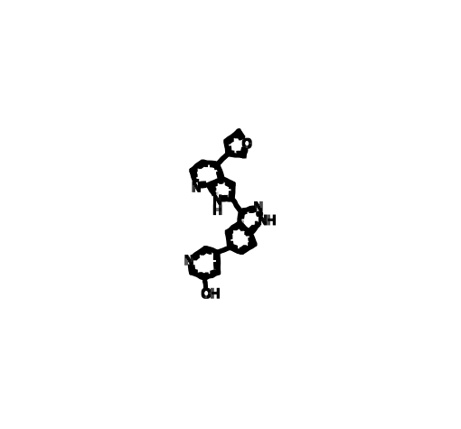 Oc1cncc(-c2ccc3[nH]nc(-c4cc5c(-c6ccoc6)ccnc5[nH]4)c3c2)c1